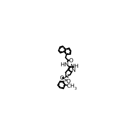 Cc1ccccc1S(=O)(=O)N1Cc2n[nH]c(NC(=O)Cc3cccc4ccccc34)c2C1